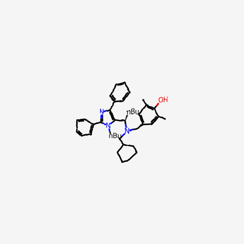 CCCC[C@H](c1c(-c2ccccc2)nc(-c2ccccc2)n1CCCC)N(Cc1cc(C)c(O)c(C)c1)CC1CCCCC1